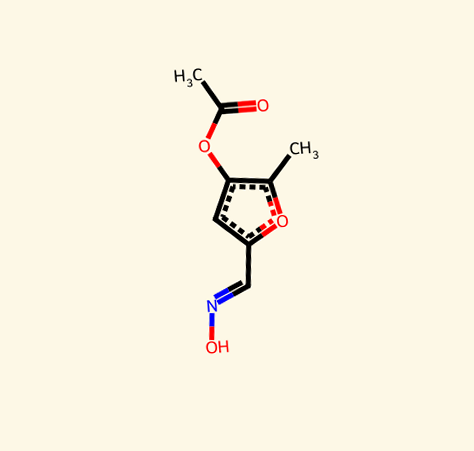 CC(=O)Oc1cc(C=NO)oc1C